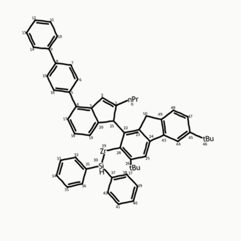 CCCC1=Cc2c(-c3ccc(-c4ccccc4)cc3)cccc2C1c1c2c(cc(C(C)(C)C)[c]1[Zr][SiH](c1ccccc1)c1ccccc1)-c1cc(C(C)(C)C)ccc1C2